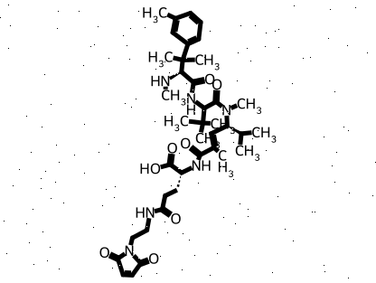 CN[C@H](C(=O)NC(C(=O)N(C)[C@H](/C=C(\C)C(=O)N[C@H](CCC(=O)NCCN1C(=O)C=CC1=O)C(=O)O)C(C)C)C(C)(C)C)C(C)(C)c1cccc(C)c1